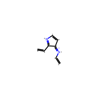 C=C/N=C1/C=CN=C1C=C